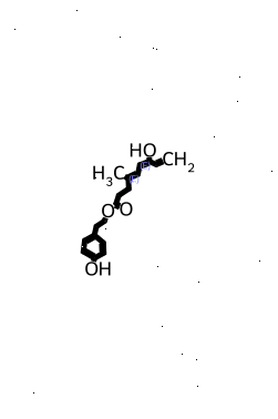 C=C/C(O)=C\C=C(/C)CCC(=O)OCCc1ccc(O)cc1